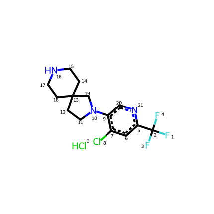 Cl.FC(F)(F)c1cc(Cl)c(N2CCC3(CCNCC3)C2)cn1